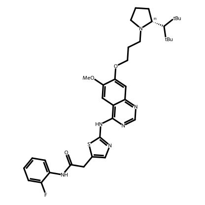 COc1cc2c(Nc3ncc(CC(=O)Nc4ccccc4F)s3)ncnc2cc1OCCCN1CCC[C@@H]1C(C(C)(C)C)C(C)(C)C